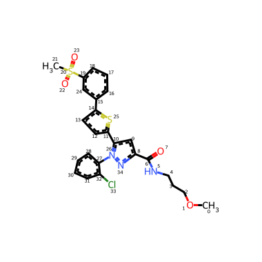 COCCCNC(=O)c1cc(-c2ccc(-c3cccc(S(C)(=O)=O)c3)s2)n(-c2ccccc2Cl)n1